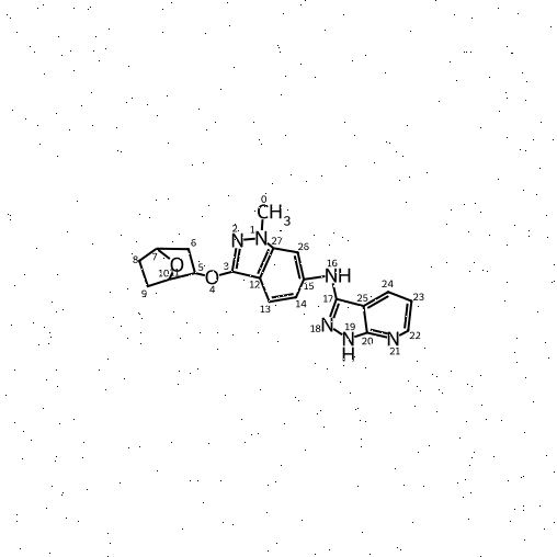 Cn1nc(OC2CC3CCC2O3)c2ccc(Nc3n[nH]c4ncccc34)cc21